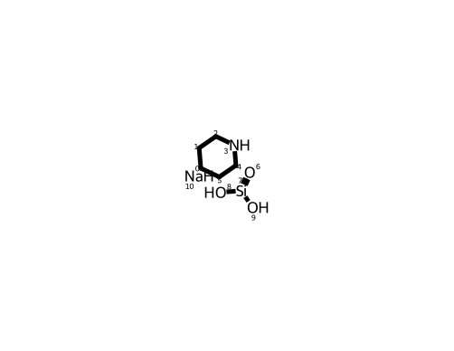 C1CCNCC1.O=[Si](O)O.[NaH]